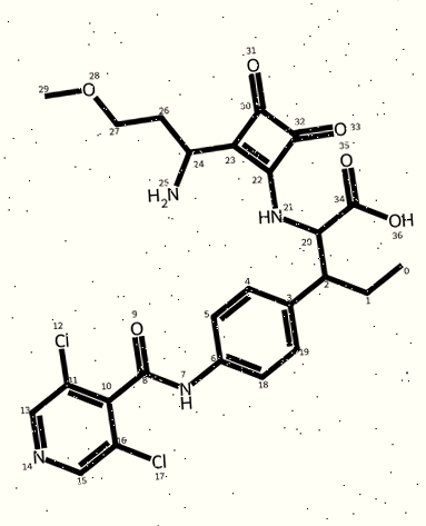 CCC(c1ccc(NC(=O)c2c(Cl)cncc2Cl)cc1)C(Nc1c(C(N)CCOC)c(=O)c1=O)C(=O)O